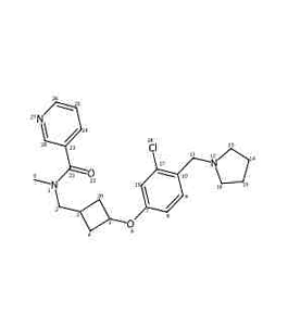 CN(CC1CC(Oc2ccc(CN3CCCC3)c(Cl)c2)C1)C(=O)c1cccnc1